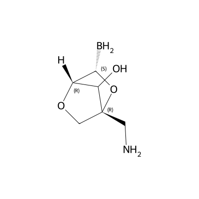 B[C@@H]1O[C@]2(CN)CO[C@H]1C2O